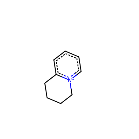 c1cc[n+]2c(c1)CCCC2